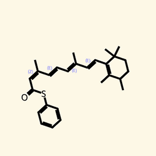 CC1=C(/C=C/C(C)=C/C=C/C(C)=C\C(=O)Sc2ccccc2)C(C)(C)CCC1C